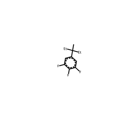 CCC(C)(CC)c1cc(F)c(F)c(F)c1